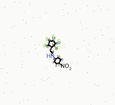 O=[N+]([O-])c1ccc(NC=Cc2c(F)c(F)c(F)c(F)c2F)cc1